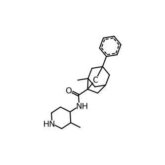 CC1CNCCC1NC(=O)C12CC3CC(c4ccccc4)(CC1(C)C3)C2